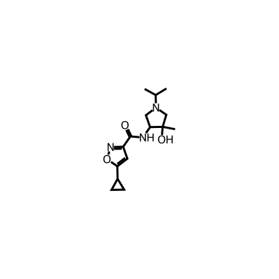 CC(C)N1CC(NC(=O)c2cc(C3CC3)on2)C(C)(O)C1